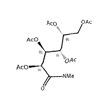 CNC(=O)[C@@H](OC(C)=O)[C@@H](OC(C)=O)[C@@H](OC(C)=O)[C@@H](COC(C)=O)OC(C)=O